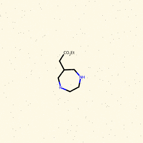 CCOC(=O)CC1C[N]CCNC1